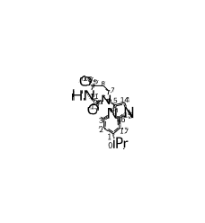 CC(C)c1ccn2c(N3CCC(=O)NC3=O)cnc2c1